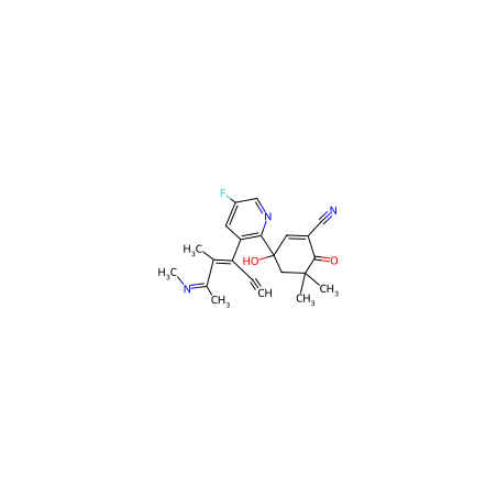 C#C/C(=C(C)\C(C)=N/C)c1cc(F)cnc1C1(O)C=C(C#N)C(=O)C(C)(C)C1